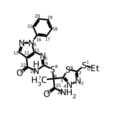 CCSc1nnc(C(C)(Sc2nc3c(cnn3-c3ccccc3)c(=O)[nH]2)C(N)=O)s1